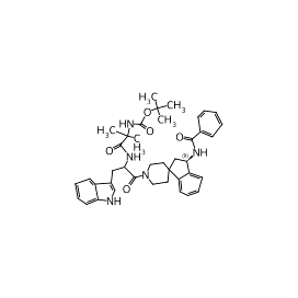 CC(C)(C)OC(=O)NC(C)(C)C(=O)NC(Cc1c[nH]c2ccccc12)C(=O)N1CCC2(CC1)C[C@@H](NC(=O)c1ccccc1)c1ccccc12